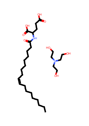 CCCCCCCC/C=C\CCCCCCCC(=O)NC(CCC(=O)O)C(=O)O.OCCN(CCO)CCO